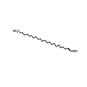 CCCCCCCCC=CCCCCCCCCCCCCCCCCCCCCCC(=O)O